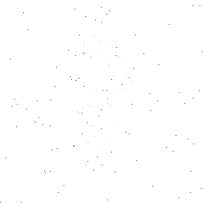 CC1(N2CCOC(c3cc(-c4cnc5ccc(-c6ccc(C(=O)O)cc6)cn45)ccc3C#N)C2)CCNCC1